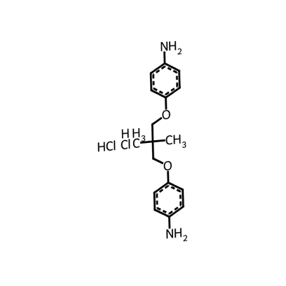 CC(C)(COc1ccc(N)cc1)COc1ccc(N)cc1.Cl.Cl